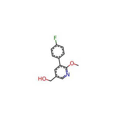 COc1ncc(CO)cc1-c1ccc(F)cc1